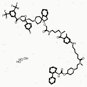 Cc1cc(NCCCCCC(=O)N(C)CCN2CCC(OC(=O)Nc3ccccc3-c3ccccc3)CC2)ccc1C(=O)N(C)CCCN(C)C(=O)CO[C@H]1Cc2ccccc2C12CCN(CC[C@@]1(c3ccc(F)cc3)CN(C(=O)c3cc(C(F)(F)F)cc(C(F)(F)F)c3)CO1)CC2.Cl.Cl.Cl